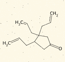 C=CCC1CC(=O)CC1(CC=C)CC=C